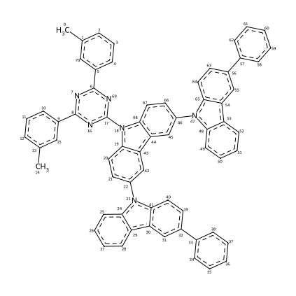 Cc1cccc(-c2nc(-c3cccc(C)c3)nc(-n3c4ccc(-n5c6ccccc6c6cc(-c7ccccc7)ccc65)cc4c4cc(-n5c6ccccc6c6cc(-c7ccccc7)ccc65)ccc43)n2)c1